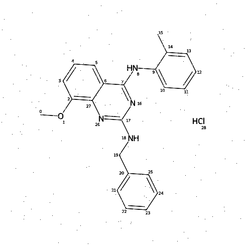 COc1cccc2c(Nc3ccccc3C)nc(NCc3ccccc3)nc12.Cl